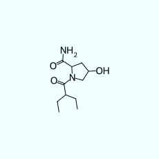 CCC(CC)C(=O)N1CC(O)CC1C(N)=O